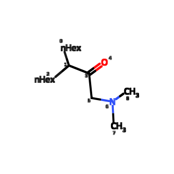 CCCCCCC(CCCCCC)C(=O)CN(C)C